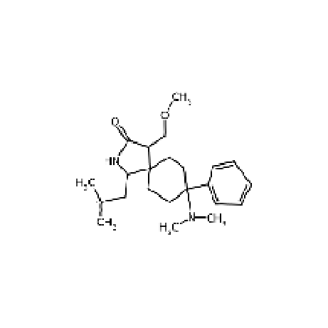 COCC1C(=O)NC(C[C](C)C)C12CCC(c1ccccc1)(N(C)C)CC2